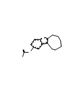 CCCCCCC(=O)Nc1ccc2oc3c(c2c1)CCCCCC3